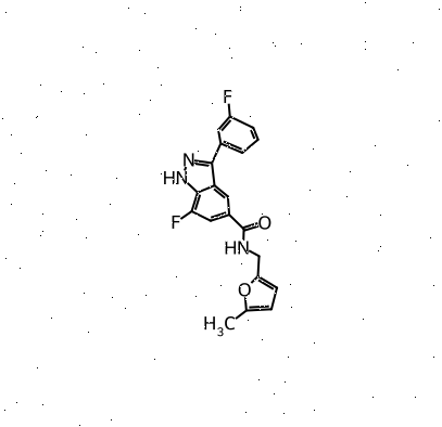 Cc1ccc(CNC(=O)c2cc(F)c3[nH]nc(-c4cccc(F)c4)c3c2)o1